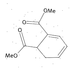 COC(=O)C1=CC=CCC1C(=O)OC